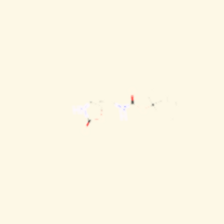 CC(C)(C)OC(=O)NC[C@H]1CNC(=O)O1